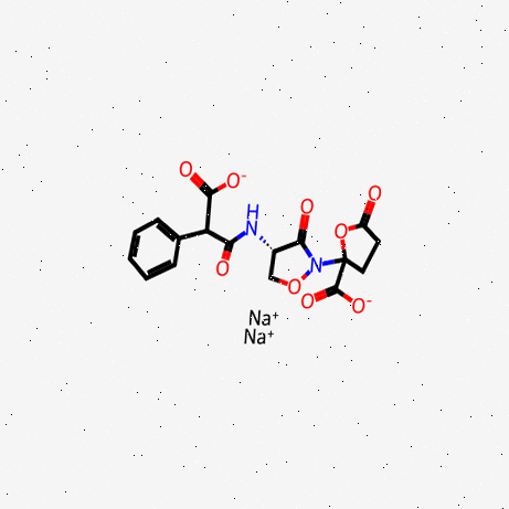 O=C1CCC(C(=O)[O-])(N2OC[C@H](NC(=O)C(C(=O)[O-])c3ccccc3)C2=O)O1.[Na+].[Na+]